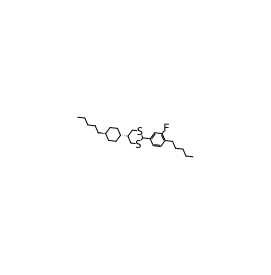 CCCCCc1ccc(C2SCC([C@H]3CC[C@H](CCCCC)CC3)CS2)cc1F